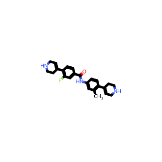 Cc1cc(NC(=O)c2ccc(C3=CCNCC3)c(F)c2)ccc1C1=CCNCC1